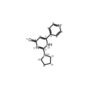 O=c1cc(-c2ccncc2)[nH]c(N2CCCC2)n1